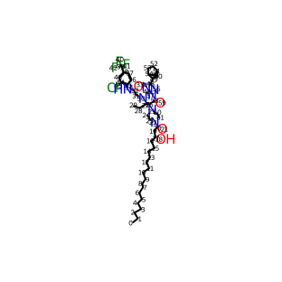 CCCCCCCCCCCCCCCCCC(O)CC(=O)N1CCN(c2c(CC)n(CC(=O)Nc3ccc(C(F)(F)F)cc3Cl)c3nc(C4=CC5CCC4C5)nn3c2=O)CC1